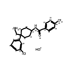 Cl.NCC1(c2cccc(Cl)c2)CCC(NC(=O)c2ccc(C(F)(F)F)nc2)CC1